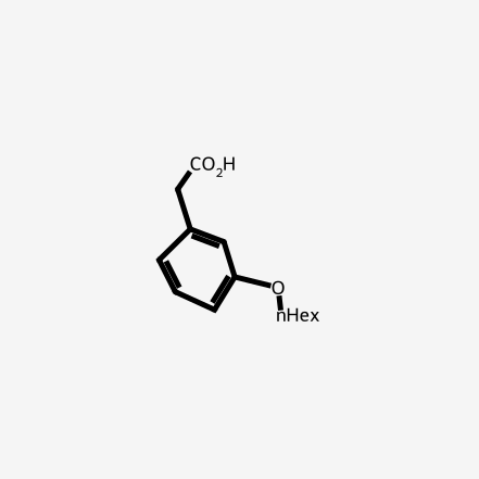 CCCCCCOc1cccc(CC(=O)O)c1